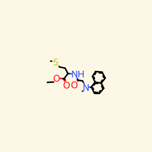 CCOC(=O)C(CCSC)NC(=O)CN(C)c1cccc2ccccc12